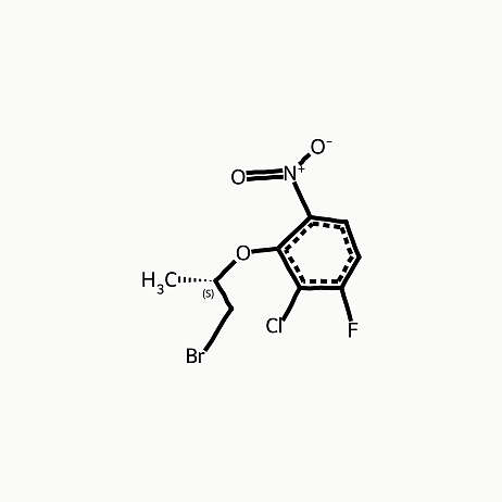 C[C@@H](CBr)Oc1c([N+](=O)[O-])ccc(F)c1Cl